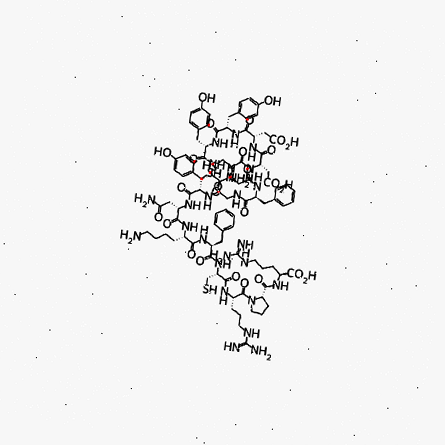 N=C(N)NCCC[C@H](NC(=O)[C@@H]1CCCN1C(=O)[C@H](CCCNC(=N)N)NC(=O)[C@H](CS)NC(=O)[C@H](Cc1ccccc1)NC(=O)[C@H](CCCCN)NC(=O)[C@H](CC(N)=O)NC(=O)[C@H](CS)NC(=O)CNC(=O)[C@H](Cc1ccccc1)NC(=O)CNC(=O)[C@H](Cc1ccc(O)cc1)NC(=O)[C@H](Cc1ccc(O)cc1)NC(=O)[C@H](Cc1ccc(O)cc1)NC(=O)[C@H](CC(=O)O)NC(=O)[C@H](CC(=O)O)NC(=O)[C@@H](N)CS)C(=O)O